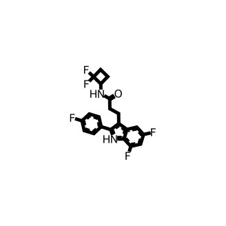 O=C(CCc1c(-c2ccc(F)cc2)[nH]c2c(F)cc(F)cc12)NC1CCC1(F)F